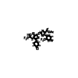 CC(=O)O[C@@H](C)c1nc(Cn2nc(-c3ccc(Cl)cc3)n(C[C@H](O)C(F)(F)F)c2=O)nn1-c1ccc(F)cc1C(F)(F)F